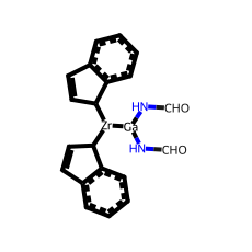 O=C[NH][Ga]([NH]C=O)[Zr]([CH]1C=Cc2ccccc21)[CH]1C=Cc2ccccc21